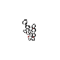 c1ccc(-c2cc(-c3ccccc3)c(B3c4cccc5c4-n4c6c3cccc6c3cccc(c34)C53c4ccccc4Oc4ccccc43)c(-c3ccccc3)c2)cc1